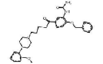 COc1ccccc1N1CCN(CCCCC(=O)c2ccc(OCc3ccccc3)c(NC(N)=O)c2)CC1